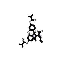 C=C/C=C1/C(=O)OC2(/C1=C/C)c1ccc(OC(=O)C(C)C)cc1Oc1cc(OC(=O)C(C)C)ccc12